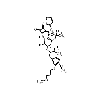 COCCCOc1cc(C[C@@H](C[C@H](NC(=O)OC(C)(C)C)C(O)CNc2c(NCc3ccccc3)c(=O)c2=O)C(C)C)ccc1OC